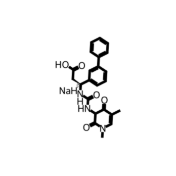 CC1=CN(C)C(=O)C(NC(=O)N[C@@H](CC(=O)O)c2cccc(-c3ccccc3)c2)C1=O.[NaH]